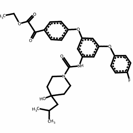 CCOC(=O)C(=O)c1ccc(Oc2cc(NC(=O)N3CCC(O)(CC(C)C)CC3)cc(Oc3ccc(F)cc3)c2)cc1